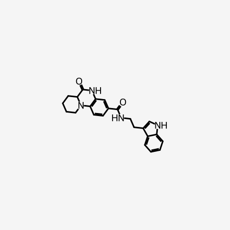 O=C(NCCc1c[nH]c2ccccc12)c1ccc2c(c1)NC(=O)C1CCCCN21